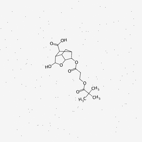 CC(C)(C)C(=O)OCCC(=O)OC1C2CC3C1OC(O)C3C2C(=O)O